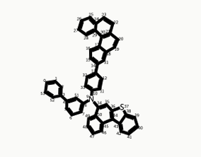 c1ccc(-c2cccc(N(c3ccc(-c4ccc5c(ccc6ccc7ccccc7c65)c4)cc3)c3cc4sc5ccccc5c4c4ccccc34)c2)cc1